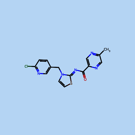 Cc1cnc(C(=O)N=c2sccn2Cc2ccc(Cl)nc2)cn1